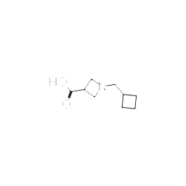 O=C(O)C1CN(CC2CCC2)C1